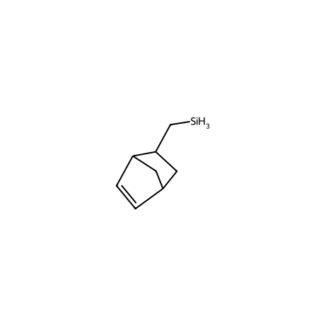 [SiH3]CC1CC2C=CC1C2